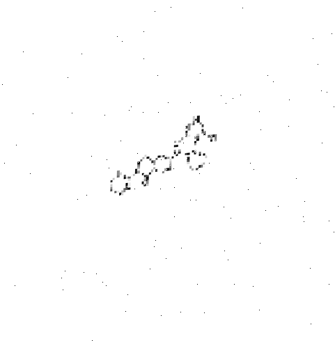 O=C1c2ccc(Oc3ccccc3N3C(Cl)=CN=NC3Cl)cc2CCN1c1ncccn1